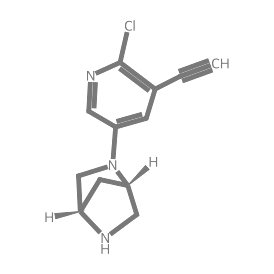 C#Cc1cc(N2C[C@@H]3C[C@H]2CN3)cnc1Cl